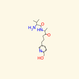 CC(NC(=O)[C@@H](N)C(C)C)C(=O)CCCc1ccc(CO)nc1